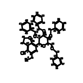 Clc1c(CBr)cc(C2O[C@H](COCc3ccccc3)[C@@H](OCc3ccccc3)[C@H](OCc3ccccc3)[C@H]2OCc2ccccc2)c2c1CCO2